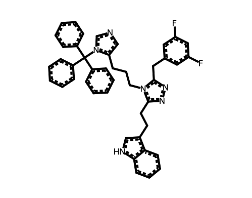 Fc1cc(F)cc(Cc2nnc(CCc3c[nH]c4ccccc34)n2CCCc2cncn2C(c2ccccc2)(c2ccccc2)c2ccccc2)c1